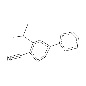 CC(C)c1cc(-c2ccccc2)ccc1C#N